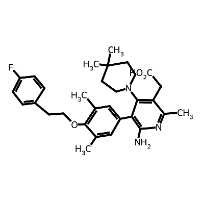 Cc1cc(-c2c(N)nc(C)c(CC(=O)O)c2N2CCC(C)(C)CC2)cc(C)c1OCCc1ccc(F)cc1